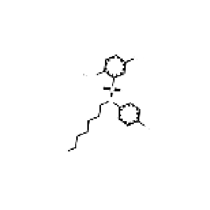 COc1ccc(NC(C)=O)cc1S(=O)(=O)N(CCCCCCO)c1ccc(Br)cc1